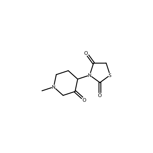 CN1CCC(N2C(=O)CSC2=O)C(=O)C1